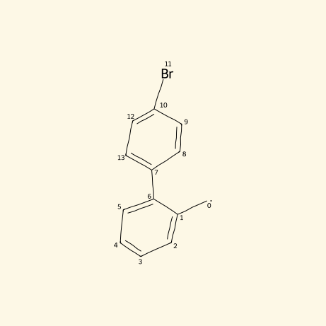 [CH2]c1ccccc1-c1ccc(Br)cc1